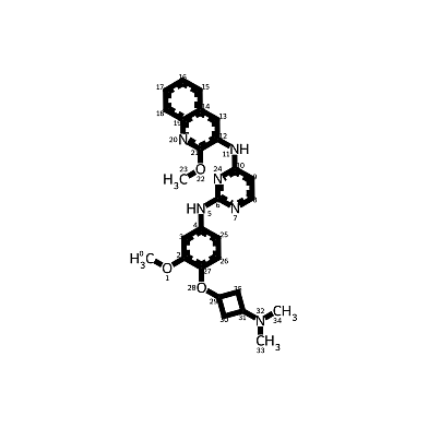 COc1cc(Nc2nccc(Nc3cc4ccccc4nc3OC)n2)ccc1OC1CC(N(C)C)C1